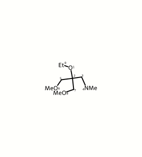 CCOC(CNC)(COC)COC